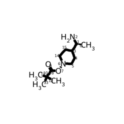 C[C@H](N)C1CCN(OC(=O)C(C)(C)C)CC1